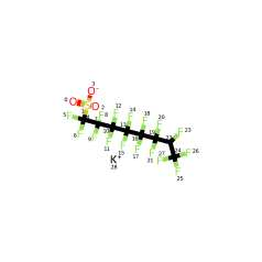 O=S(=O)([O-])C(F)(F)C(F)(F)C(F)(F)C(F)(F)C(F)(F)C(F)(F)C(F)C(F)(F)F.[K+]